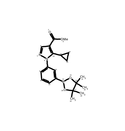 COC(=O)c1cnn(-c2cccc(B3OC(C)(C)C(C)(C)O3)c2)c1C1CC1